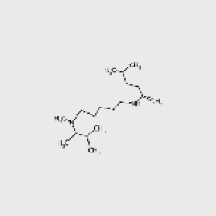 C=C(CCC(C)C)NCCCCCN(C)C(C)C(C)C